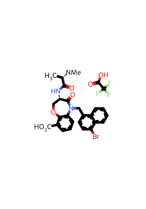 CN[C@@H](C)C(=O)N[C@H]1COc2c(C(=O)O)cccc2N(Cc2ccc(Br)c3ccccc23)C1=O.O=C(O)C(F)(F)F